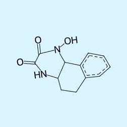 O=C1NC2CCc3ccccc3C2N(O)C1=O